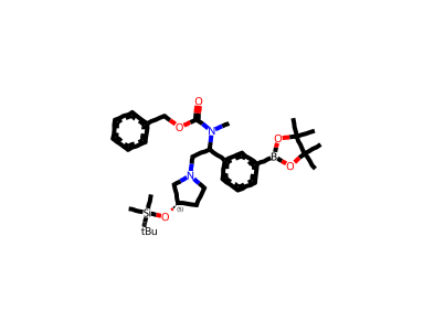 CN(C(=O)OCc1ccccc1)C(CN1CC[C@H](O[Si](C)(C)C(C)(C)C)C1)c1cccc(B2OC(C)(C)C(C)(C)O2)c1